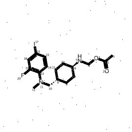 CC(=O)OCN[C@H]1CC[C@H](CN(C)c2ccc(I)cc2F)CC1